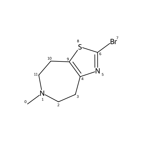 CN1CCc2nc(Br)sc2CC1